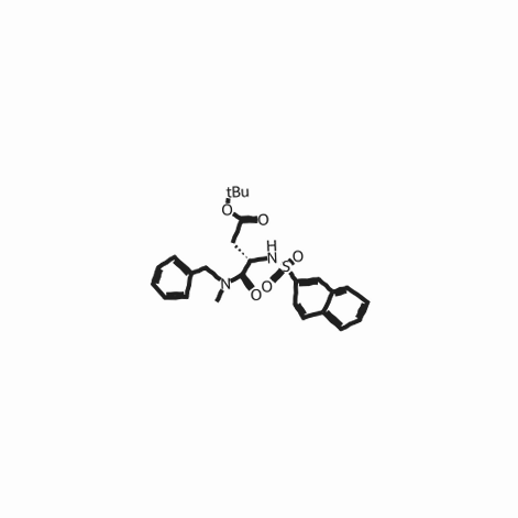 CN(Cc1ccccc1)C(=O)[C@H](CC(=O)OC(C)(C)C)NS(=O)(=O)c1ccc2ccccc2c1